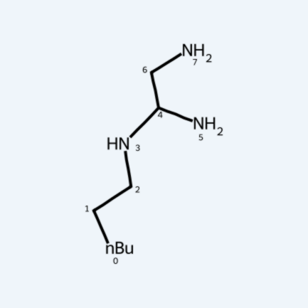 CCCCCCNC(N)CN